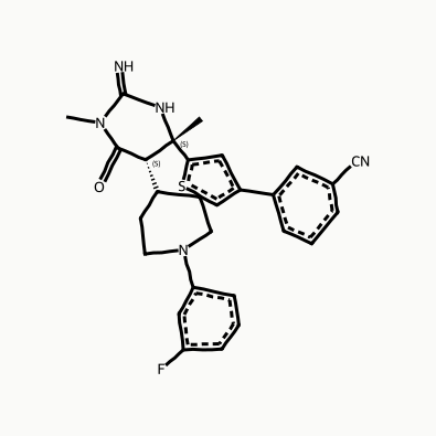 CN1C(=N)N[C@](C)(c2cc(-c3cccc(C#N)c3)cs2)[C@H](C2CCN(c3cccc(F)c3)CC2)C1=O